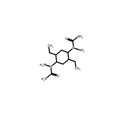 CCC1CC(N(N)C(N)=O)C(CC)CC1N(N)C(N)=O